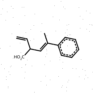 C=CC(C=C(C)c1ccccc1)C(=O)O